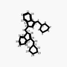 C1=C(CC2CCCCC2)c2ccccc2C1CC1C=C(CC2CCCCC2)c2ccccc21